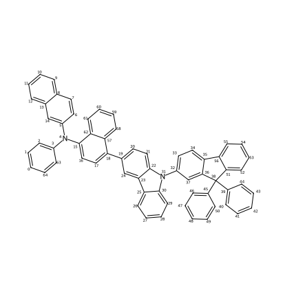 c1ccc(N(c2ccc3ccccc3c2)c2ccc(-c3ccc4c(c3)c3ccccc3n4-c3ccc4c(c3)C(c3ccccc3)(c3ccccc3)c3ccccc3-4)c3ccccc23)cc1